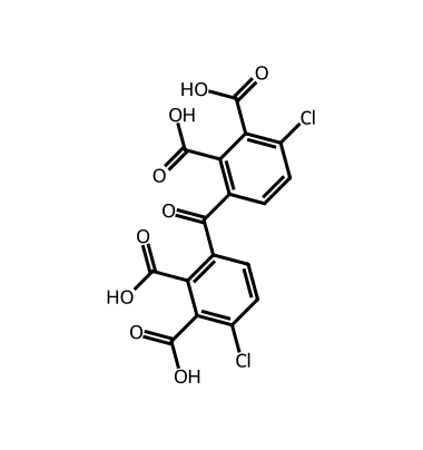 O=C(c1ccc(Cl)c(C(=O)O)c1C(=O)O)c1ccc(Cl)c(C(=O)O)c1C(=O)O